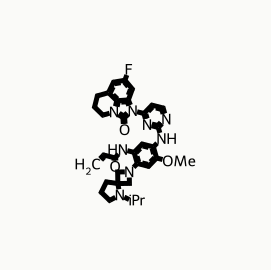 C=CC(=O)Nc1cc(Nc2nccc(-n3c(=O)n4c5c(cc(F)cc53)CCC4)n2)c(OC)cc1N1CC2(CCCN2C(C)C)C1